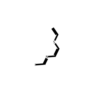 C=CS/C=C\N=C\I